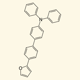 c1ccc(N(c2ccccc2)c2ccc(-c3ccc(-c4ccco4)cc3)cc2)cc1